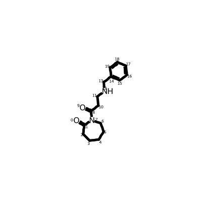 O=C1CCCCCN1C(=O)CCNCc1ccccc1